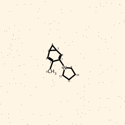 CC1=CC2CC2C=C1N1CCCC1